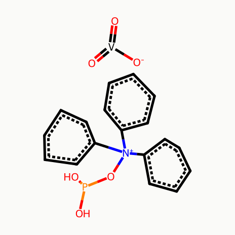 OP(O)O[N+](c1ccccc1)(c1ccccc1)c1ccccc1.[O]=[V](=[O])[O-]